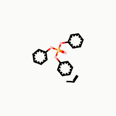 C=CC.O=P(Oc1ccccc1)(Oc1ccccc1)Oc1ccccc1